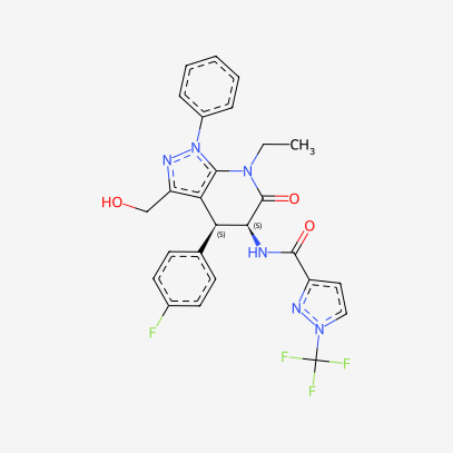 CCN1C(=O)[C@@H](NC(=O)c2ccn(C(F)(F)F)n2)[C@@H](c2ccc(F)cc2)c2c(CO)nn(-c3ccccc3)c21